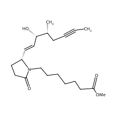 CC#CC[C@@H](C)[C@@H](O)C=C[C@H]1CCC(=O)N1CCCCCCC(=O)OC